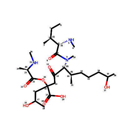 CC[C@H](C)[C@H](NC)C(=O)N(C)[C@@H](C(=O)CC(CC(C)O)(OC(=O)[C@@H](C)NC)C(=O)O)[C@H](C)CCCC(C)O